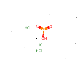 Cl.Cl.Cl.O=P(=O)O